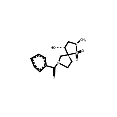 CN1C[C@@H](O)[C@]2(CCN(C(=O)c3ccccc3)C2)S1(=O)=O